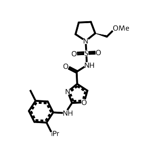 COC[C@@H]1CCCN1S(=O)(=O)NC(=O)c1coc(Nc2cc(C)ccc2C(C)C)n1